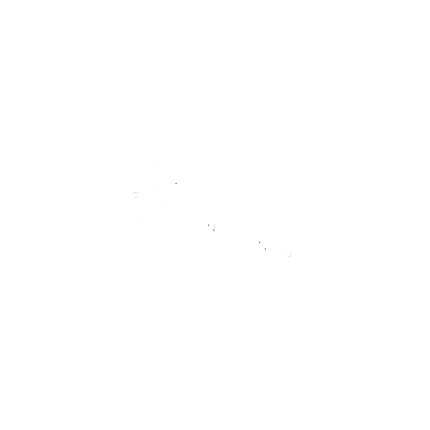 CCC(C)N1CCC(N2CCC(C(=O)C(C)(CC)CC)CC2)CC1